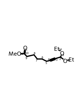 CCOC(C#CCCCCCC(=O)OC)OCC